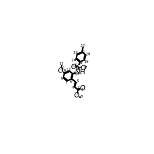 COC(=O)C=Cc1ccc(OC)cc1NS(=O)(=O)c1ccc(C)cc1